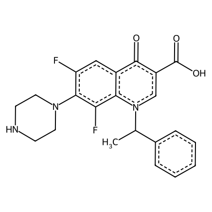 CC(c1ccccc1)n1cc(C(=O)O)c(=O)c2cc(F)c(N3CCNCC3)c(F)c21